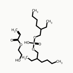 C=CC(=O)OCCO.CCCCC(CC)COP(=O)(O)OCC(CC)CCCC